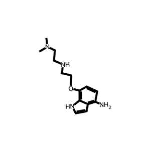 CN(C)CCNCCOc1ccc(N)c2cc[nH]c12